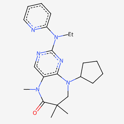 CCN(c1ccccn1)c1ncc2c(n1)N(C1CCCC1)CC(C)(C)C(=O)N2C